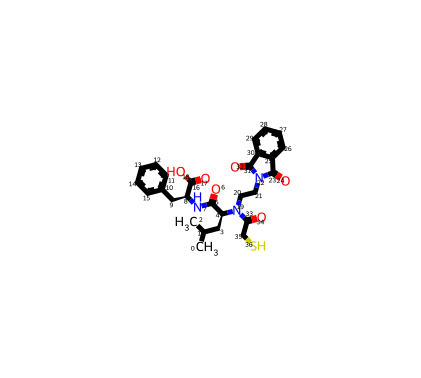 CC(C)C[C@@H](C(=O)N[C@@H](Cc1ccccc1)C(=O)O)N(CCN1C(=O)c2ccccc2C1=O)C(=O)CS